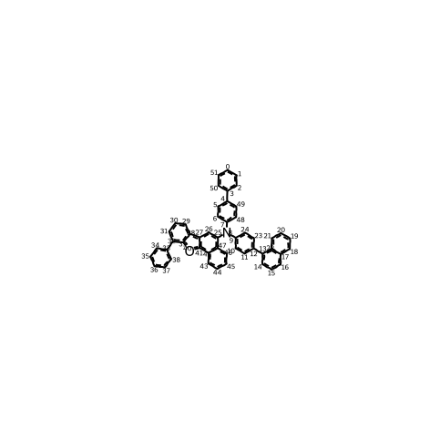 c1ccc(-c2ccc(N(c3ccc(-c4cccc5ccccc45)cc3)c3cc4c5cccc(-c6ccccc6)c5oc4c4ccccc34)cc2)cc1